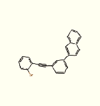 Brc1ccccc1C#Cc1cccc(-c2ccc3ccccc3c2)c1